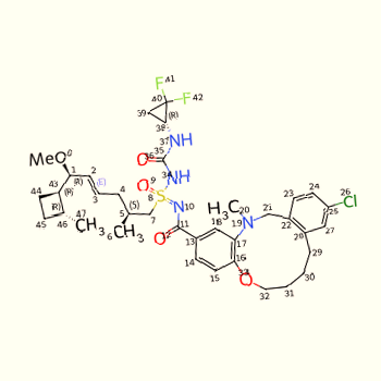 CO[C@@H](/C=C/C[C@H](C)CS(=O)(=NC(=O)c1ccc2c(c1)N(C)Cc1ccc(Cl)cc1CCCCO2)NC(=O)N[C@@H]1CC1(F)F)[C@@H]1CC[C@H]1C